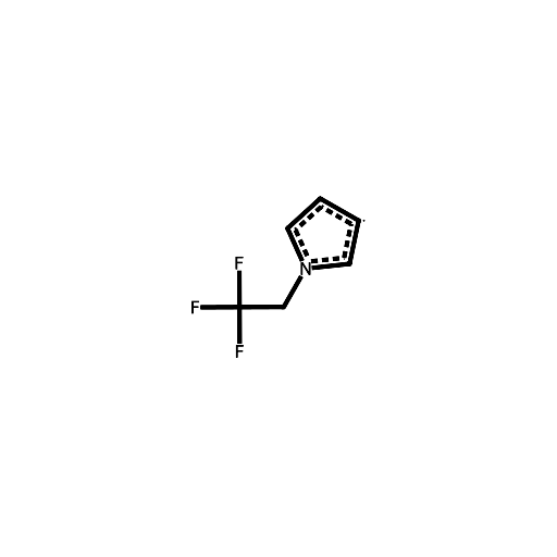 FC(F)(F)Cn1c[c]cc1